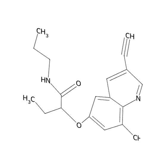 C#Cc1cnc2c(C)cc(OC(CC)C(=O)NCCC)cc2c1